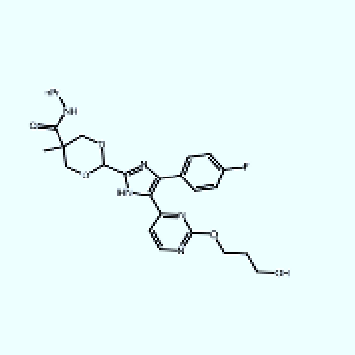 CCCNC(=O)C1(C)COC(c2nc(-c3ccc(F)cc3)c(-c3ccnc(OCCCO)n3)[nH]2)OC1